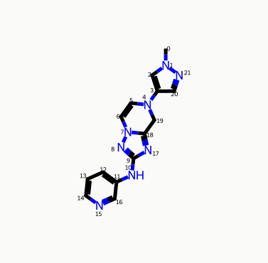 Cn1cc(N2C=Cn3nc(Nc4cccnc4)nc3C2)cn1